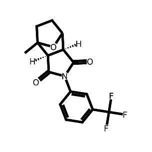 CC12CCC(O1)[C@H]1C(=O)N(c3cccc(C(F)(F)F)c3)C(=O)[C@H]12